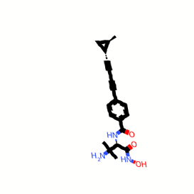 C[C@@H]1C[C@H]1C#CC#Cc1ccc(C(=O)N[C@H](C(=O)NO)C(C)(C)N)cc1